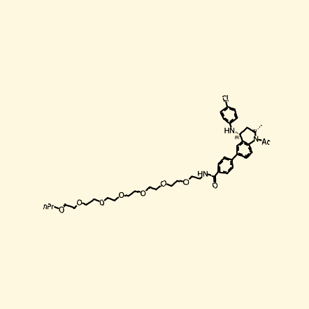 CCCOCCOCCOCCOCCOCCOCCOCCNC(=O)c1ccc(-c2ccc3c(c2)[C@H](Nc2ccc(Cl)cc2)C[C@H](C)N3C(C)=O)cc1